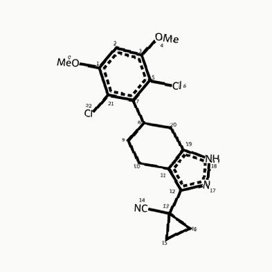 COc1cc(OC)c(Cl)c(C2CCc3c(C4(C#N)CC4)n[nH]c3C2)c1Cl